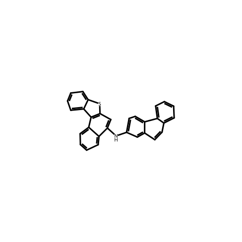 c1ccc2c(c1)ccc1cc(Nc3cc4sc5ccccc5c4c4ccccc34)ccc12